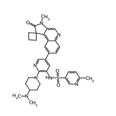 Cc1ccc(S(=O)(=O)Nc2cc(-c3ccc4ncc5c(c4c3)C3(CCC3)C(=O)N5C)cnc2N2CCC(N(C)C)CC2)cn1